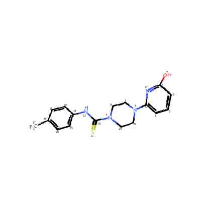 Oc1cccc(N2CCN(C(=S)Nc3ccc(C(F)(F)F)cc3)CC2)n1